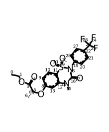 CCOC(=O)[C@@H](C)Oc1ccc2c(c1)N(C)C(=O)N(c1ccc(C(F)(F)F)cc1)S2(=O)=O